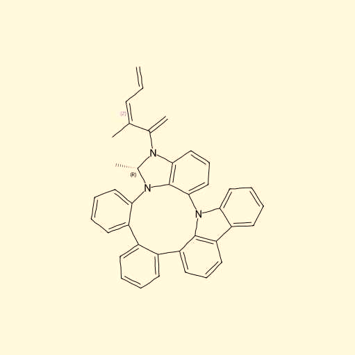 C=C/C=C(/C)C(=C)N1c2cccc3c2N(c2ccccc2-c2ccccc2-c2cccc4c5ccccc5n-3c24)[C@@H]1C